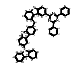 c1ccc(-c2nc(-c3ccccc3)nc(-c3ccc4sc5cccc(Cc6ccc7c(c6)oc6ccc(-n8c9ccccc9c9ccccc98)cc67)c5c4c3)n2)cc1